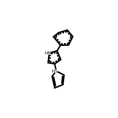 C1=C[SH](c2c[nH]c(-c3ccccc3)c2)C=C1